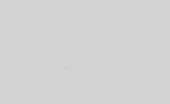 CC1=CC[C]([Ti]([C]2=CC(C)=CC2)=[C](C)C)=C1.Cl.Cl